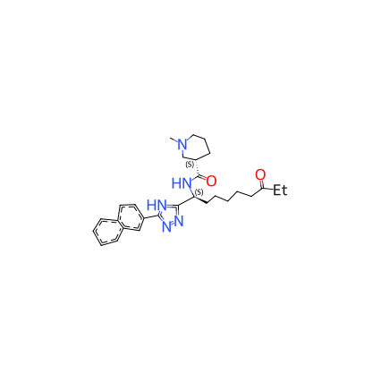 CCC(=O)CCCCC[C@H](NC(=O)[C@H]1CCCN(C)C1)c1nnc(-c2ccc3ccccc3c2)[nH]1